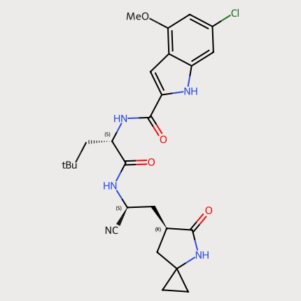 COc1cc(Cl)cc2[nH]c(C(=O)N[C@@H](CC(C)(C)C)C(=O)N[C@H](C#N)C[C@@H]3CC4(CC4)NC3=O)cc12